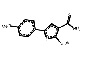 COc1ccc(-c2cc(C(N)=O)c(NC(C)=O)s2)cc1